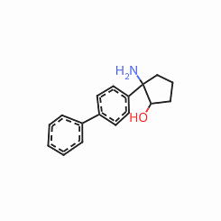 NC1(c2ccc(-c3ccccc3)cc2)CCCC1O